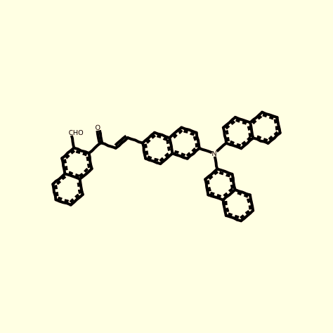 O=Cc1cc2ccccc2cc1C(=O)C=Cc1ccc2cc(N(c3ccc4ccccc4c3)c3ccc4ccccc4c3)ccc2c1